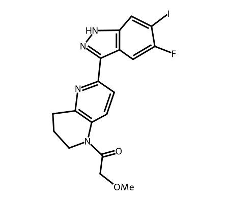 COCC(=O)N1CCCc2nc(-c3n[nH]c4cc(I)c(F)cc34)ccc21